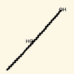 CCCCCCCCCCCCCCCCCCCCCCCCCCCC(O)CCCCCCCCCCCCCCCCCCCCCCCCCCCCCO